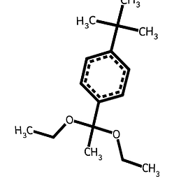 CCOC(C)(OCC)c1ccc(C(C)(C)C)cc1